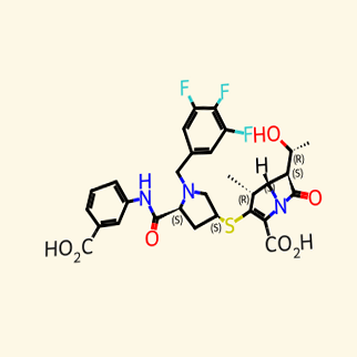 C[C@@H](O)[C@H]1C(=O)N2C(C(=O)O)=C(S[C@H]3C[C@@H](C(=O)Nc4cccc(C(=O)O)c4)N(Cc4cc(F)c(F)c(F)c4)C3)[C@H](C)[C@H]12